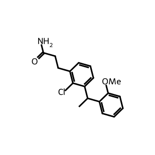 COc1ccccc1C(C)c1cccc(CCC(N)=O)c1Cl